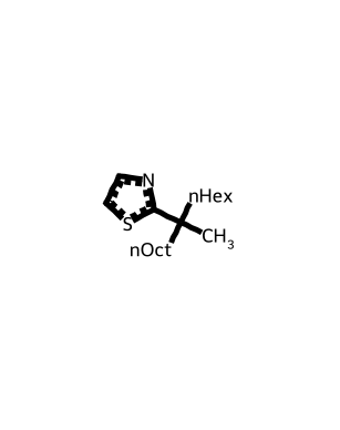 CCCCCCCCC(C)(CCCCCC)c1nccs1